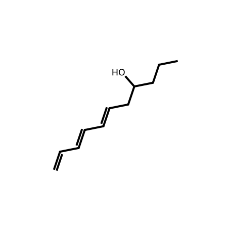 C=CC=CC=CCC(O)CCC